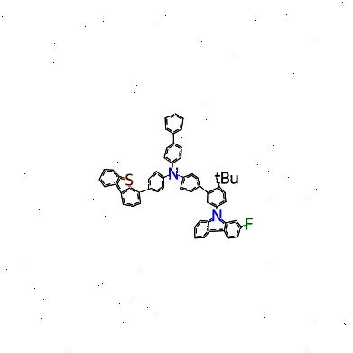 CC(C)(C)c1ccc(-n2c3ccccc3c3ccc(F)cc32)cc1-c1ccc(N(c2ccc(-c3ccccc3)cc2)c2ccc(-c3cccc4c3sc3ccccc34)cc2)cc1